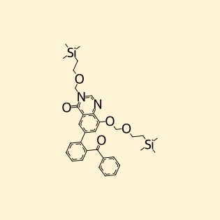 C[Si](C)(C)CCOCOc1cc(-c2ccccc2C(=O)c2ccccc2)cc2c(=O)n(COCC[Si](C)(C)C)cnc12